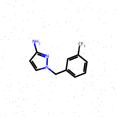 Nc1ccn(Cc2cccc(C(F)(F)F)c2)n1